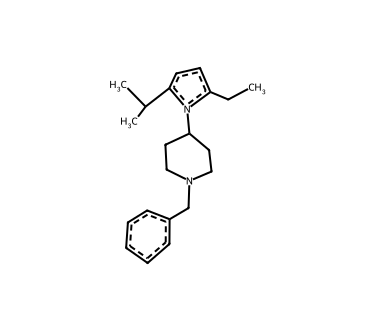 CCc1ccc(C(C)C)n1C1CCN(Cc2ccccc2)CC1